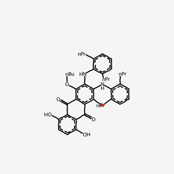 CCCCOc1c(Nc2c(CCC)cccc2CCC)c(Nc2c(CCC)cccc2CCC)c(F)c2c1C(=O)c1c(O)ccc(O)c1C2=O